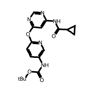 CC(C)(C)OC(=O)Nc1ccc(Oc2cc(NC(=O)C3CC3)ncn2)nc1